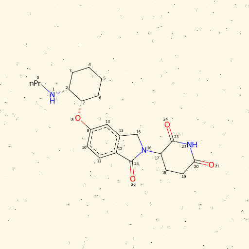 CCCN[C@@H]1CCCC[C@@H]1Oc1ccc2c(c1)CN(C1CCC(=O)NC1=O)C2=O